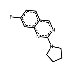 Fc1ccc2cnc(N3CCCC3)nc2c1